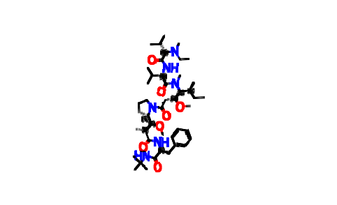 CC[C@H](C)[C@@H]([C@@H](CC(=O)N1CCC[C@H]1[C@H](OC)[C@@H](C)C(=O)N[C@@H](Cc1ccccc1)C(=O)NC(C)(C)C)OC)N(C)C(=O)[C@@H](NC(=O)[C@H](C(C)C)N(C)CC)C(C)C